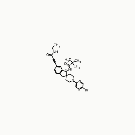 CCNC(=O)C#Cc1ccc2c(c1)[C@@H](N[S@+]([O-])C(C)(C)C)C1(CCN(c3cnc(Br)cn3)CC1)C2